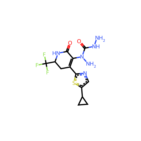 NNC(=O)N(N)C1=C(c2ncc(C3CC3)s2)CC(C(F)(F)F)NC1=O